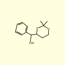 CC(=O)OC(c1ccccc1)C1CCOC(C)(C)O1